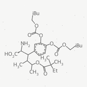 CCC(C)COC(=O)Oc1ccc(C(C(C)C(C)OC(=O)C(C)(C)CC)[C@H](N)C(=O)O)cc1OC(=O)OCC(C)CC